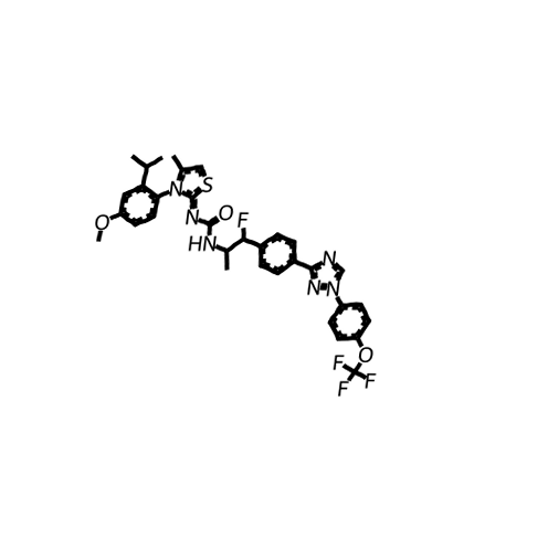 COc1ccc(-n2c(C)cs/c2=N\C(=O)NC(C)C(F)c2ccc(-c3ncn(-c4ccc(OC(F)(F)F)cc4)n3)cc2)c(C(C)C)c1